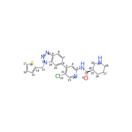 O=C(Nc1cc(-c2ccc3nnn(Cc4cccs4)c3c2)c(Cl)cn1)[C@@H]1CCCNC1